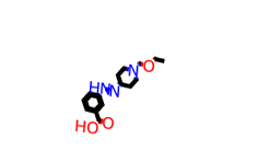 CCOCN1CCC(=NNc2cccc(C(=O)O)c2)CC1